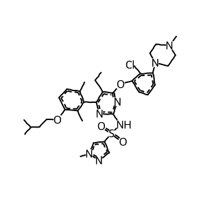 CCc1c(Oc2cccc(N3CCN(C)CC3)c2Cl)nc(NS(=O)(=O)c2cnn(C)c2)nc1-c1c(C)ccc(OCCC(C)C)c1C